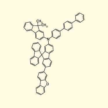 CC1(C)c2ccccc2-c2ccc(N(c3ccc(-c4ccc(-c5ccccc5)cc4)cc3)c3ccc4c(c3)C3(c5ccccc5-c5ccccc53)c3cc(-c5ccc6c(c5)oc5ccccc56)ccc3-4)cc21